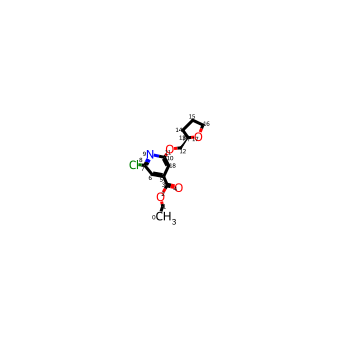 CCOC(=O)c1cc(Cl)nc(OC[C@H]2CCCO2)c1